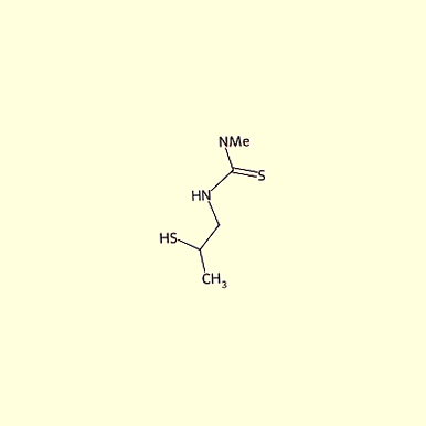 CNC(=S)NCC(C)S